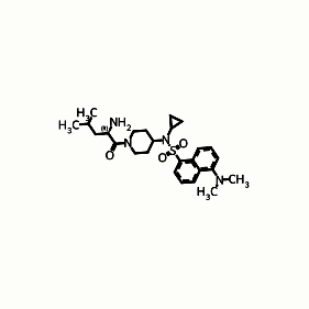 CC(C)C[C@@H](N)C(=O)N1CCC(N(C2CC2)S(=O)(=O)c2cccc3c(N(C)C)cccc23)CC1